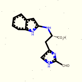 O=Cc1nc(C[C@H](Nc2cc3ccccc3[nH]2)C(=O)O)c[nH]1